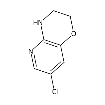 Clc1cnc2c(c1)OCCN2